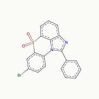 O=S1(=O)c2cc(Br)ccc2-n2c(-c3ccccc3)nc3cccc1c32